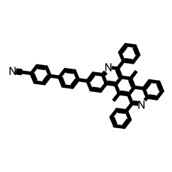 Cc1c2c(-c3ccccc3)nc3cc(-c4ccc(-c5ccc(C#N)cc5)cc4)ccc3c2c(C)c2c(-c3ccccc3)nc3ccccc3c12